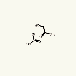 CC(=O)CO.O=S(O)O